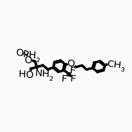 Cc1ccc(CCCOc2ccc(CCC(N)(CO)CO[PH2]=O)cc2C(F)(F)F)cc1